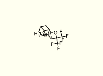 CC1(C)C2CC=C(CC(O)(C(F)(F)F)C(F)(F)F)C1C2